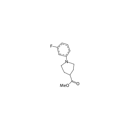 COC(=O)C1CCN(c2cccc(F)c2)CC1